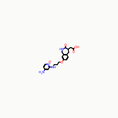 Nc1cc[n+]([O-])c(NCCCOc2ccc3c(c2)CNC(=O)C(CC(=O)O)C3)c1